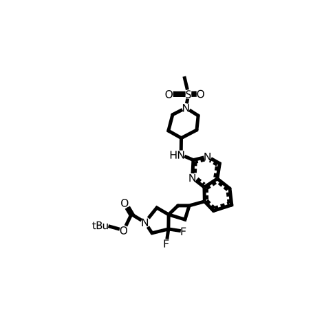 CC(C)(C)OC(=O)N1CC(F)(F)C2(CC(c3cccc4cnc(NC5CCN(S(C)(=O)=O)CC5)nc34)C2)C1